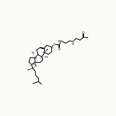 CC(=O)CCNCCNC(=O)O[C@H]1CC[C@@]2(C)C(=CCC3[C@@H]4CC[C@H]([C@H](C)CCCC(C)C)[C@@]4(C)CC[C@@H]32)C1